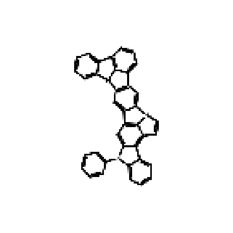 c1ccc(-n2c3ccccc3c3c4ccn5c6cc7c8cccc9c%10ccccc%10n(c7cc6c(cc32)c45)c98)cc1